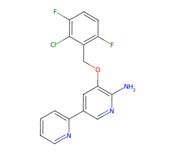 Nc1ncc(-c2ccccn2)cc1OCc1c(F)ccc(F)c1Cl